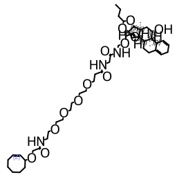 CCCC1O[C@@H]2C[C@H]3[C@@H]4CCC5=CCC=C[C@]5(C)[C@H]4[C@@H](O)C[C@]3(C)[C@]2(C(=O)COCNC(=O)CNC(=O)CCOCCOCCOCCOCCNC(=O)COC2/C=C\CCCCC2)O1